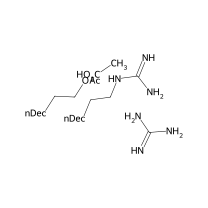 CC(=O)O.CCCCCCCCCCCCNC(=N)N.CCCCCCCCCCCCOC(C)=O.N=C(N)N